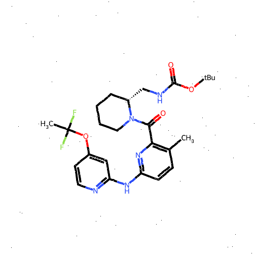 Cc1ccc(Nc2cc(OC(C)(F)F)ccn2)nc1C(=O)N1CCCC[C@@H]1CNC(=O)OC(C)(C)C